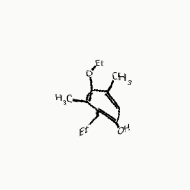 CCOc1c(C)cc(O)c(CC)c1C